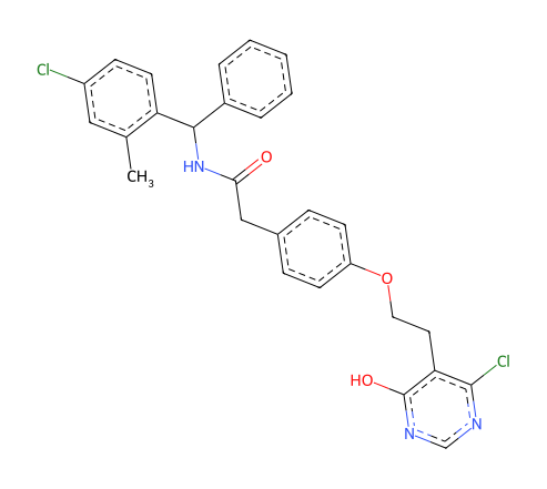 Cc1cc(Cl)ccc1C(NC(=O)Cc1ccc(OCCc2c(O)ncnc2Cl)cc1)c1ccccc1